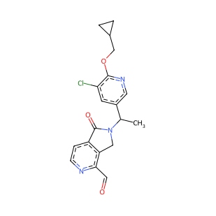 CC(c1cnc(OCC2CC2)c(Cl)c1)N1Cc2c(ccnc2C=O)C1=O